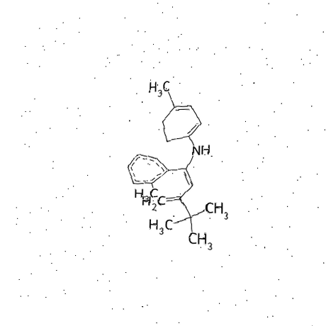 C=C(/C=C(/NC1=CC=C(C)CC1)c1ccccc1C)C(C)(C)C